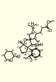 COC(=O)CCCC(I)C1(CO[SiH](C)C)O[C@H]2C[C@@H](OC3CCCCO3)[C@@H](C(C)(C)C)[C@@]2(c2ccccc2)C1[SeH]